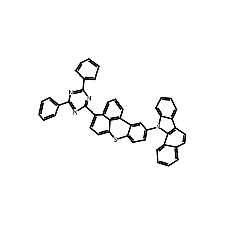 c1ccc(-c2nc(-c3ccccc3)nc(-c3ccc4c5c(cccc35)-c3cc(-n5c6ccccc6c6ccc7ccccc7c65)ccc3S4)n2)cc1